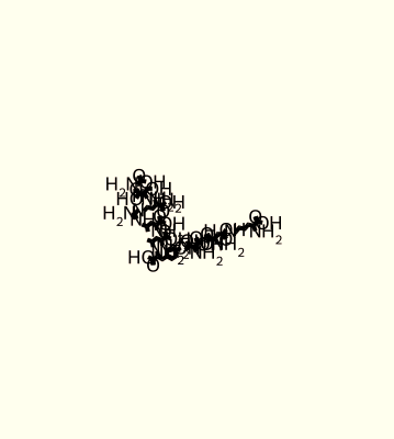 CC(C)CC(N)C(=O)O.CC(C)CC(N)C(=O)O.CC(O)C(N)C(=O)O.N=C(N)NCCCC(N)C(=O)O.NC(CC(=O)O)C(=O)O.NC(CO)C(=O)O.NC(Cc1ccc(O)cc1)C(=O)O.NCC(=O)O.NCCCCC(N)C(=O)O